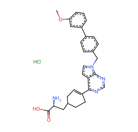 COc1cccc(-c2ccc(Cn3ccc4c(C5=CCC(C[C@H](N)C(=O)O)CC5)ncnc43)cc2)c1.Cl